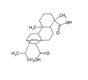 CC(C)C1=CC23CCC4C(C)(C(=O)O)CCCC4(C)C2CC1CC3C(=O)O